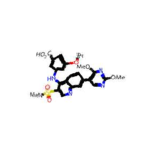 CNS(=O)(=O)c1cnc2cc(-c3cnc(OC)nc3OC)ccc2c1Nc1cc(OC(C)C)cc(C(=O)O)c1